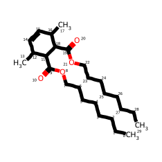 CCCCCCCCOC(=O)C1C(C)C=CC(C)C1C(=O)OCCCCCCCC